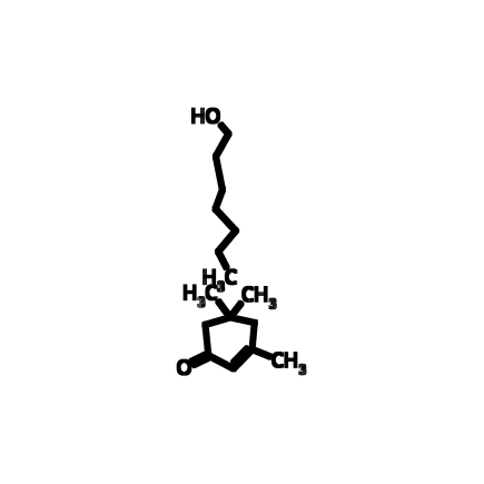 CC1=CC(=O)CC(C)(C)C1.CCCCCCCO